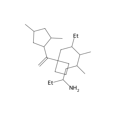 C=C(C1CC(C)CC1C)C1(CC(CC)C(C)C(C)CC(N)CC)CCC1